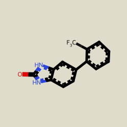 O=c1[nH]c2ccc(-c3ccccc3C(F)(F)F)cc2[nH]1